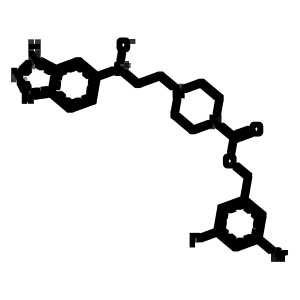 O=C(OCc1cc(F)cc(Br)c1)N1CCN(CC[S+]([O-])c2ccc3nn[nH]c3c2)CC1